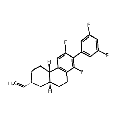 C=C[C@@H]1CC[C@@H]2c3cc(F)c(-c4cc(F)cc(F)c4)c(F)c3CC[C@@H]2C1